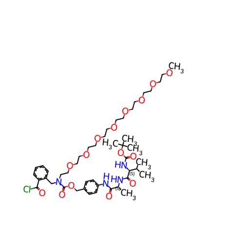 COCCOCCOCCOCCOCCOCCOCCOCCN(Cc1ccccc1C(=O)Cl)C(=O)OCc1ccc(NC(=O)[C@H](C)NC(=O)[C@@H](NC(=O)OC(C)(C)C)C(C)C)cc1